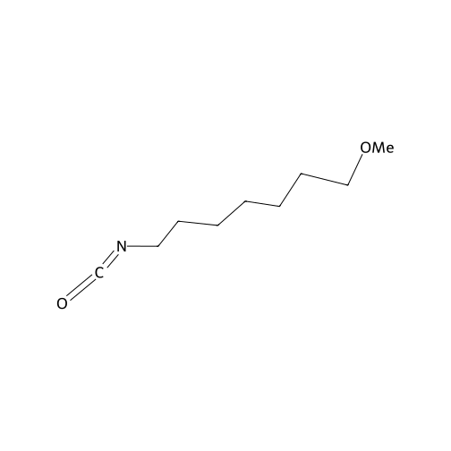 COCCCCCCCN=C=O